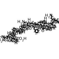 CCC(C)[C@H](NC(=O)[C@H](CC(N)=O)NC(=O)[C@H](C)NC(=O)[C@H](Cc1ccccc1)NC(=O)[C@H](CC(C)C)NC(=O)[C@H](Cc1c[nH]cn1)NC(=O)[C@@H](NC(=O)[C@@H](NC(=O)[C@@H]1CCCN1C(=O)[C@H](CCCCN)NC(=O)[C@@H](C)N)C(C)C)C(C)C)C(=O)N[C@H](C(=O)N[C@H](C(=O)N1CCC[C@H]1C(=O)N[C@@H](CCCNC(=N)N)C(=O)N[C@H](C(=O)N1CCC[C@H]1C(=O)O)C(C)O)C(C)O)C(C)C